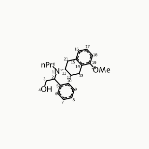 CCCN(C(CO)c1ccccc1)[C@H]1CCc2c(cccc2OC)C1